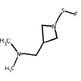 CN(C)CC1CN(SF)C1